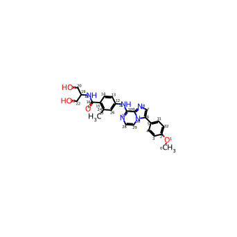 COc1ccc(-c2cnc3c(Nc4ccc(C(=O)NC(CO)CO)c(C)c4)nccn23)cc1